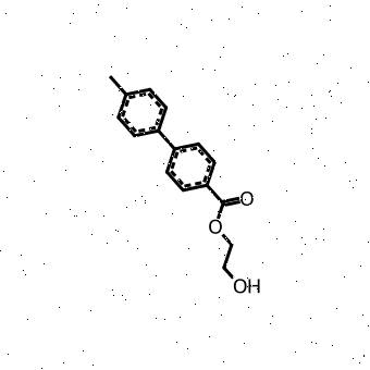 Cc1ccc(-c2ccc(C(=O)OCCO)cc2)cc1